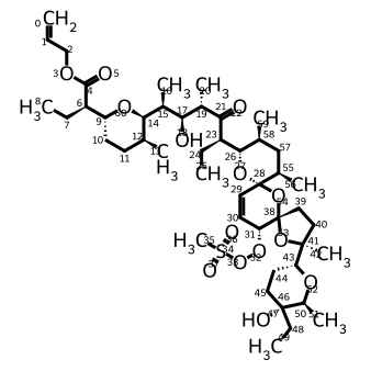 C=CCOC(=O)[C@H](CC)[C@H]1CC[C@H](C)[C@H]([C@@H](C)[C@H](O)[C@H](C)C(=O)[C@H](CC)[C@H]2O[C@]3(C=C[C@@H](OOS(C)(=O)=O)[C@]4(CC[C@@](C)([C@H]5CC[C@](O)(CC)[C@H](C)O5)O4)O3)[C@H](C)C[C@@H]2C)O1